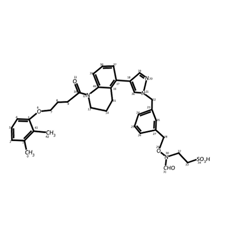 Cc1cccc(OCCCC(=O)N2CCCc3c(-c4cnn(Cc5cccc(CON(C=O)CCS(=O)(=O)O)c5)c4)cccc32)c1C